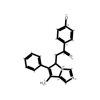 CC1=C(c2ccccc2)C(CC(=O)c2ccc(Cl)cc2)n2cncc21